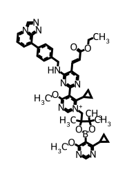 CCOC(=O)/C=C/c1cnc(-c2c(OC)nc[n+](CC3(C)OB(c4c(OC)ncnc4C4CC4)OC3(C)C)c2C2CC2)nc1NCc1ccc(-c2cccn3cnnc23)cc1